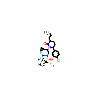 C=CCC1CCC(c2ccc(Cl)cc2)N(C(CN(C(F)F)[S+]([O-])C(C)(C)C)C2CC2)C1=O